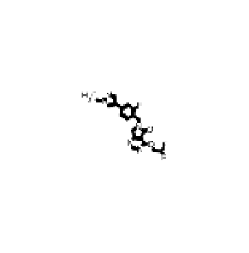 CCn1cc(-c2ccc(CN3Cc4ncnc(OCC(F)F)c4C3=O)c(F)c2)cn1